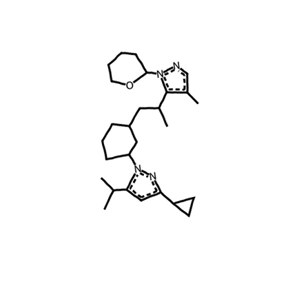 Cc1cnn(C2CCCCO2)c1C(C)CC1CCCC(n2nc(C3CC3)cc2C(C)C)C1